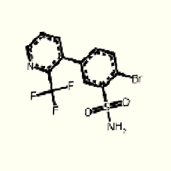 NS(=O)(=O)c1cc(-c2cccnc2C(F)(F)F)ccc1Br